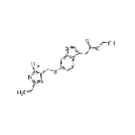 CCOC(=O)Cc1csc2cc(OCc3sc(CC)nc3C)ccc12